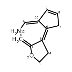 C=C1OCC/C1=C1\CC=C\C1=C\N